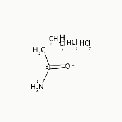 C.CC(N)=O.Cl.Cl.Cl